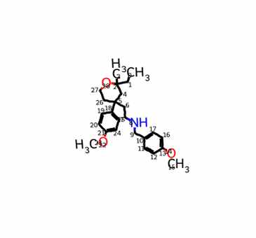 CCC1(C)CC(CCNCc2ccc(OC)cc2)(c2ccc(OC)cc2)CCO1